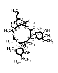 CCCC(=O)O[C@@H]1[C@@H](C)N(C)C[C@H](C)C[C@@](C)(O)[C@H](O[C@@H]2O[C@H](C)CC(N(C)C)[C@H]2O)[C@@H](C)[C@H](O[C@H]2C[C@@](C)(OC)[C@@H](O)[C@H](C)O2)[C@@H](C)C(O)O[C@H](CC)[C@@]1(C)O